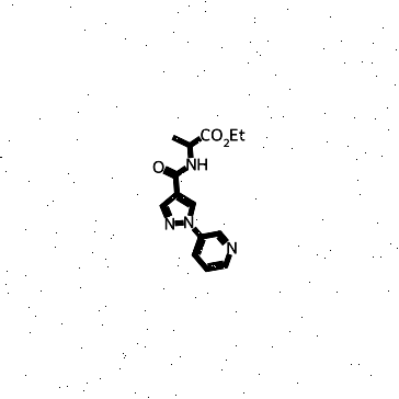 CCOC(=O)C(C)NC(=O)c1cnn(-c2cccnc2)c1